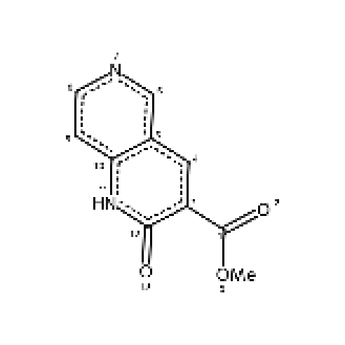 COC(=O)c1cc2cnccc2[nH]c1=O